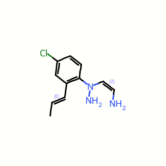 C/C=C/c1cc(Cl)ccc1N(N)/C=C\N